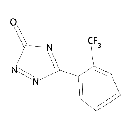 O=C1N=NC(c2ccccc2C(F)(F)F)=N1